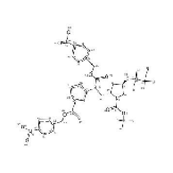 CC(C)(C)OC(=O)N1C[C@H](O[Si](C)(C)C(C)(C)C)C[C@H]1CN(C(=O)OCc1ccc([N+](=O)[O-])cc1)c1cccc(C(=O)OCc2ccc([N+](=O)[O-])cc2)c1